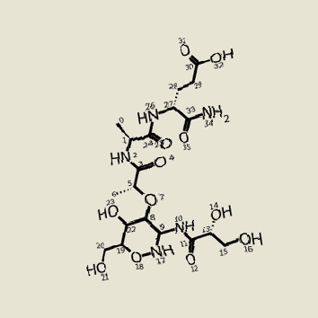 C[C@H](NC(=O)[C@@H](C)OC1C(NC(=O)[C@H](O)CO)NOC(CO)C1O)C(=O)N[C@H](CCC(=O)O)C(N)=O